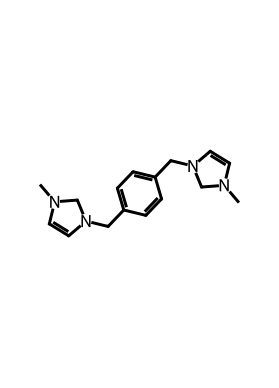 CN1C=CN(Cc2ccc(CN3C=CN(C)C3)cc2)C1